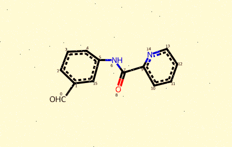 O=Cc1cccc(NC(=O)c2ccccn2)c1